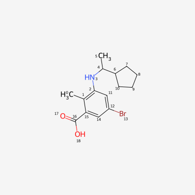 Cc1c(NC(C)C2CCCC2)cc(Br)cc1C(=O)O